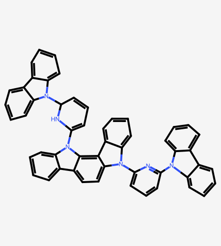 C1=CC(n2c3ccccc3c3ccccc32)NC(n2c3ccccc3c3ccc4c(c5ccccc5n4-c4cccc(-n5c6ccccc6c6ccccc65)n4)c32)=C1